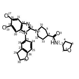 O=C(N[C@@H]1CCOC1)C1CCN(c2nc3cc(Cl)c(Cl)cc3n2-c2ccc3c(c2)CCO3)CC1